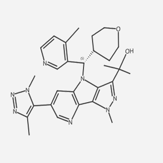 Cc1ccncc1[C@H](C1CCOCC1)n1c2cc(-c3c(C)nnn3C)cnc2c2c1c(C(C)(C)O)nn2C